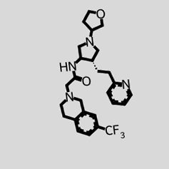 O=C(CN1CCc2ccc(C(F)(F)F)cc2C1)NC1CN(C2CCOC2)C[C@@H]1CCc1ccccn1